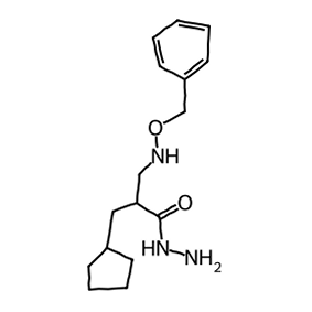 NNC(=O)C(CNOCc1ccccc1)CC1CCCC1